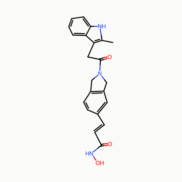 Cc1[nH]c2ccccc2c1CC(=O)N1Cc2ccc(/C=C/C(=O)NO)cc2C1